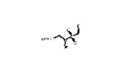 CCCCCCN(Br)S(=O)(=O)CF